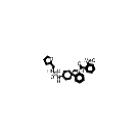 COc1ccccc1C(=O)NC[C@]1(c2ccccc2)CC[C@H](NS(=O)(=O)NCC2CCCO2)CC1